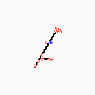 COCCOCC(COCCCCCCC(=O)NCCCCCCOP(=O)(O)OC)OCCCO